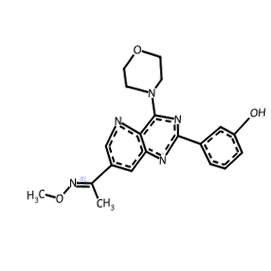 CO/N=C(\C)c1cnc2c(N3CCOCC3)nc(-c3cccc(O)c3)nc2c1